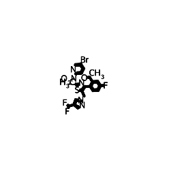 Cc1nc(-c2ccc(F)cc2C(C)Oc2cc(Br)cnc2[N+](=O)[O-])c(Cn2cc(C(F)F)cn2)s1